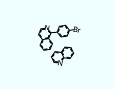 Brc1ccc(-c2nccc3ccccc23)cc1.c1ccc2ncccc2c1